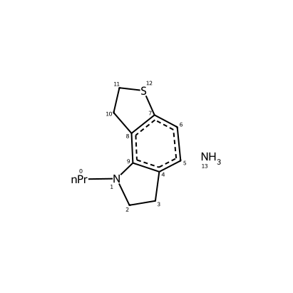 CCCN1CCc2ccc3c(c21)CCS3.N